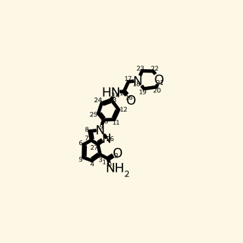 NC(=O)c1cccc2cn(-c3ccc(NC(=O)CN4CCOCC4)cc3)nc12